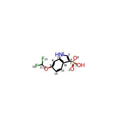 O=S(=O)(O)c1c[nH]c2cc(OC(F)F)ccc12